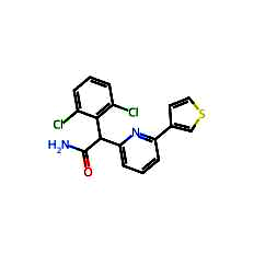 NC(=O)C(c1cccc(-c2ccsc2)n1)c1c(Cl)cccc1Cl